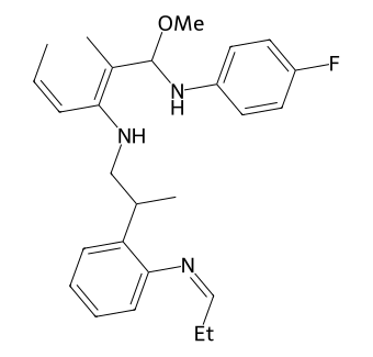 C/C=C\C(NCC(C)c1ccccc1/N=C\CC)=C(/C)C(Nc1ccc(F)cc1)OC